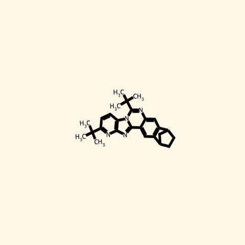 CC(C)(C)c1ccc2c(n1)nc1c3cc4c(cc3nc(C(C)(C)C)n21)C1CCC4C1